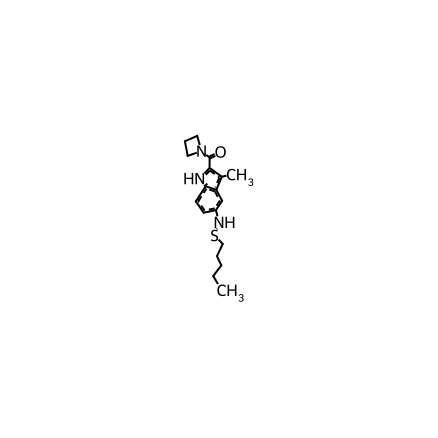 CCCCCSNc1ccc2[nH]c(C(=O)N3CCC3)c(C)c2c1